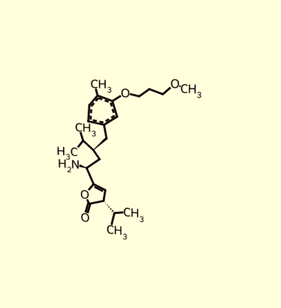 COCCCOc1cc(C[C@@H](C[C@H](N)C2=C[C@H](C(C)C)C(=O)O2)C(C)C)ccc1C